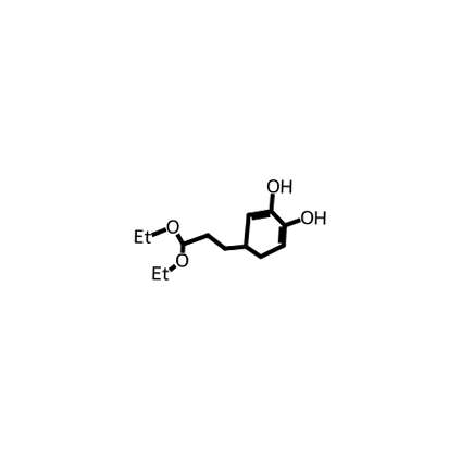 CCOC(CCC1C=C(O)C(O)=CC1)OCC